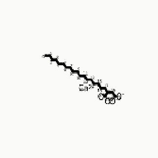 CCCCCCCCCCCCCCCCCCC(=CC(=O)[O-])C(=O)[O-].[Ca+2]